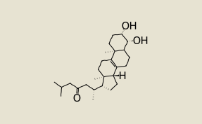 CC(C)CC(=O)C[C@@H](C)[C@H]1CC[C@H]2C3=C(CC[C@]12C)[C@@]1(C)CC[C@H](O)[C@H](O)C1CC3